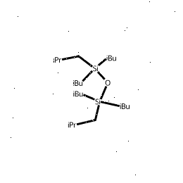 CCC(C)[Si](CC(C)C)(O[Si](CC(C)C)(C(C)CC)C(C)CC)C(C)CC